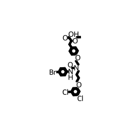 CCOC(Cc1ccc(OCCN(CCCCOc2cc(Cl)cc(Cl)c2)C(=O)Nc2ccc(Br)cc2)cc1)C(=O)O